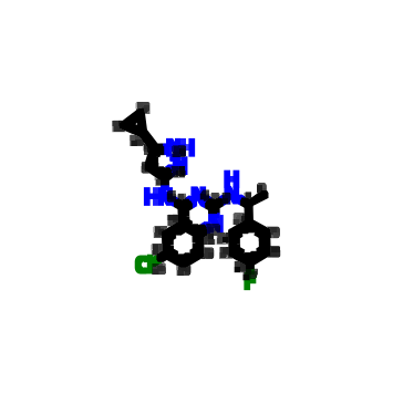 C[C@H](Nc1nc(Nc2cc(C3CC3)[nH]n2)c2cc(Cl)ccc2n1)c1ccc(F)cc1